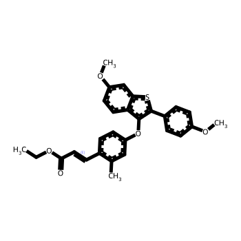 CCOC(=O)/C=C/c1ccc(Oc2c(-c3ccc(OC)cc3)sc3cc(OC)ccc23)cc1C